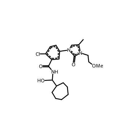 COCCn1c(C)cn(-c2ccc(Cl)c(C(=O)NC(O)C3CCCCCC3)c2)c1=O